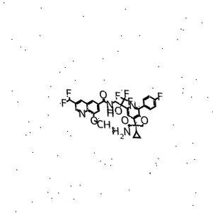 COc1cc(C(=O)NC[C@](O)(c2cc3c(c(-c4ccc(F)cc4)n2)OC[C@@]3(C(N)=O)C2CC2)C(F)(F)F)cc2cc(C(F)F)cnc12